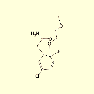 COCCOC1(F)C=CC(Cl)=CC1CC(N)=O